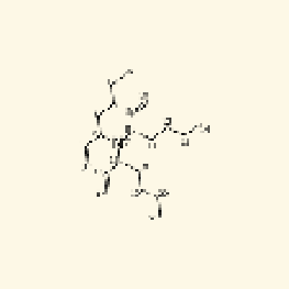 C=CC(CCCC)N(C(C=C)CCCC)C(C=C)CCCC